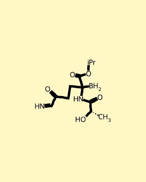 BC(CCC(=O)C=N)(NC(=O)[C@H](C)O)C(=O)OC(C)C